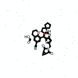 N#Cc1cc2c(c(-c3ccnc4cc(CN5C(=O)C6CC6C5=O)sc34)c1)N([C@H]1CNC3(CCCC3)C1)CCC2.O=CO